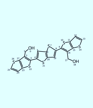 OCc1c(-c2cc3sc(-c4sc5ccsc5c4CO)cc3s2)sc2ccsc12